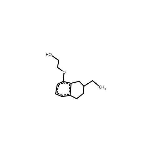 CCC1CCc2cccc(OCCO)c2C1